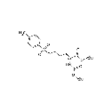 Cc1ccc(S(=O)(=O)OCCC[C@H](NC(=O)OC(C)(C)C)C(=O)OC(C)(C)C)cc1